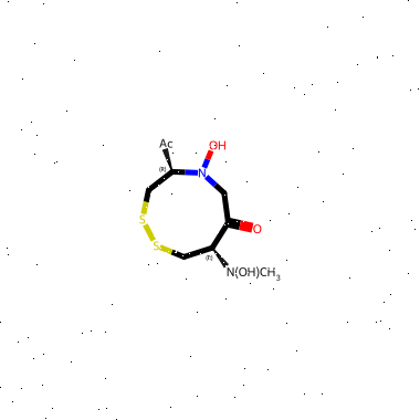 CC(=O)[C@@H]1CSSC[C@H](N(C)O)C(=O)CN1O